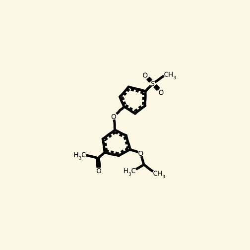 CC(=O)c1cc(Oc2ccc(S(C)(=O)=O)cc2)cc(OC(C)C)c1